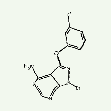 CCn1nc(Oc2cccc(Cl)c2)c2c(N)ncnc21